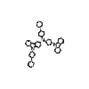 c1ccc(-c2ccc(N(c3ccc(-n4c5ccccc5c5ccccc54)cc3)c3ccc4c(c3)c3ccccc3n4-c3ccc(-c4ccccc4)cc3)cc2)cc1